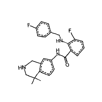 CC1(C)CNCc2cc(NC(=O)c3cccc(F)c3NCc3ccc(F)cc3)ccc21